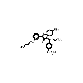 CC(C)CCCOc1cccc(C2=NC3(CCC(C(C)(C)C)CC3)N([C@H](CCC(C)(C)C)c3ccc(C(=O)O)cc3)C2=O)c1